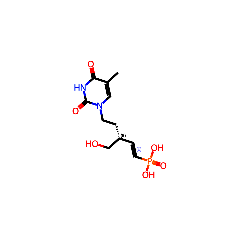 Cc1cn(CC[C@H](/C=C/P(=O)(O)O)CO)c(=O)[nH]c1=O